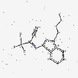 CCCCn1cc(/C=C(\C#N)C(F)(F)F)c2ccccc21